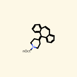 CCCCCCCCN1CCC(=C2c3ccccc3C=Cc3ccccc32)CC1